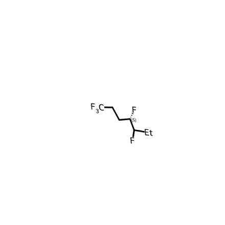 [CH2]CC(F)[C@@H](F)CCC(F)(F)F